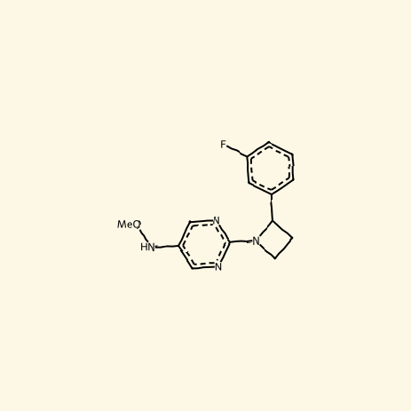 CONc1cnc(N2CCC2c2cccc(F)c2)nc1